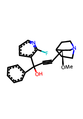 CO[C@]1(C#CC(O)(c2ccccc2)c2cccnc2F)CN2CCC1CC2